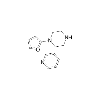 c1ccncc1.c1coc(N2CCNCC2)c1